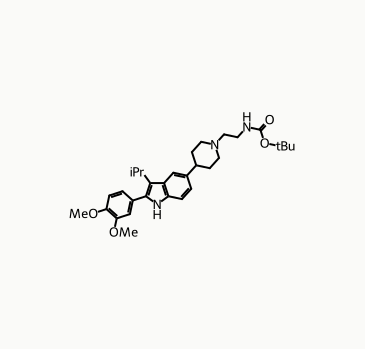 COc1ccc(-c2[nH]c3ccc(C4CCN(CCNC(=O)OC(C)(C)C)CC4)cc3c2C(C)C)cc1OC